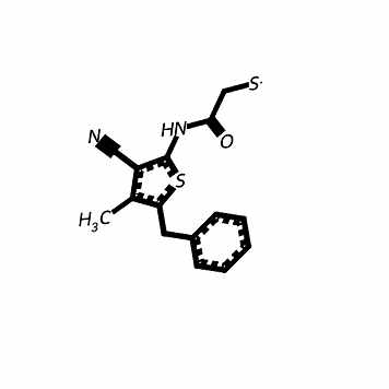 Cc1c(Cc2ccccc2)sc(NC(=O)C[S])c1C#N